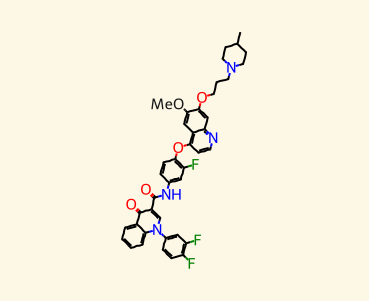 COc1cc2c(Oc3ccc(NC(=O)c4cn(-c5ccc(F)c(F)c5)c5ccccc5c4=O)cc3F)ccnc2cc1OCCCN1CCC(C)CC1